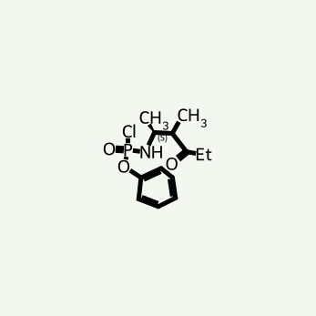 CCC(=O)C(C)[C@H](C)NP(=O)(Cl)Oc1ccccc1